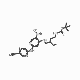 CCC(CCNC(=O)OC(C)(C)C)CNc1cc(Nc2cnc(C#N)cn2)ncc1[N+](=O)[O-]